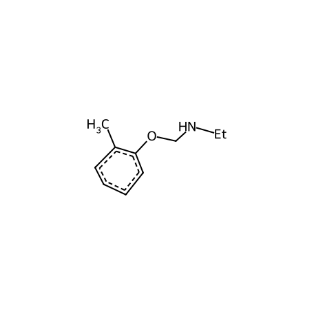 CCNCOc1ccccc1C